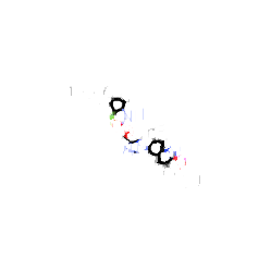 O=C(Nc1ccc(C(=O)O)cc1F)OCc1cn(-c2cc3cc(C(=O)O)c(=O)[nH]c3cc2C(F)(F)F)cn1